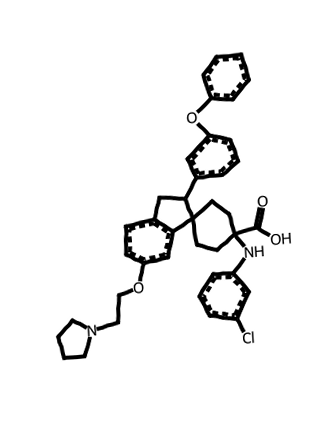 O=C(O)C1(Nc2cccc(Cl)c2)CCC2(CC1)c1cc(OCCN3CCCC3)ccc1CC2c1cccc(Oc2ccccc2)c1